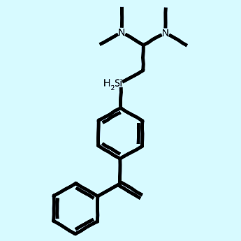 C=C(c1ccccc1)c1ccc([SiH2]CC(N(C)C)N(C)C)cc1